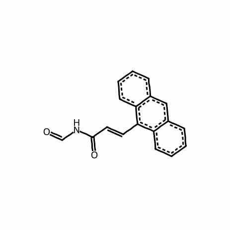 O=CNC(=O)C=Cc1c2ccccc2cc2ccccc12